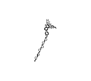 CCCCc1nc2c(N)nc3ccc(N4CCN(CCOCCOCCOCCOCCOCCOCCC)CC4)cc3c2[nH]1